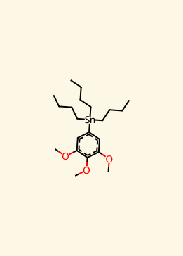 CCC[CH2][Sn]([CH2]CCC)([CH2]CCC)[c]1cc(OC)c(OC)c(OC)c1